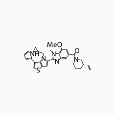 C=C[C@@H]1CCCN(C(=O)c2cc(OC)c3c(c2)nc(-c2cc4scc(-c5ccc[nH]5)c4n2CC2CC2)n3C)C1